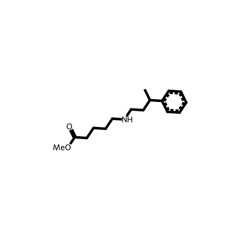 COC(=O)CCCCNCCC(C)c1ccccc1